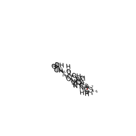 C[C@]12C[C@@H]3C[C@](C)(C1)C[C@@](Nc1nc(Cl)nc4c1ncn4[C@@H]1O[C@H](CCCCP(=O)(O)O)C(O)[C@@H]1O)(C3)C2